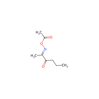 CCCC(=O)C(C)=NOC(C)=O